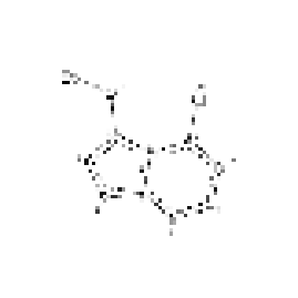 CCOc1csc2ncnc(Cl)c12